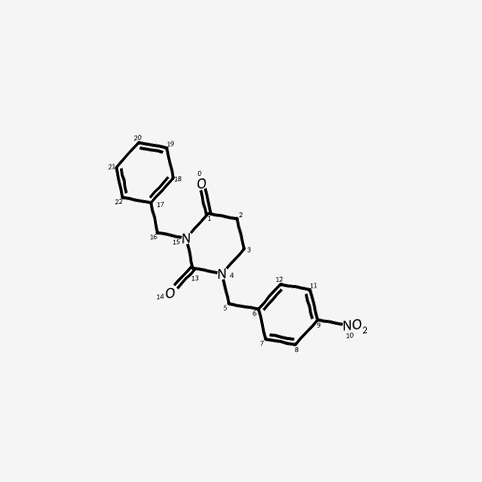 O=C1CCN(Cc2ccc([N+](=O)[O-])cc2)C(=O)N1Cc1ccccc1